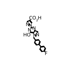 O=C(O)c1cnn(-c2nc(O)c3c(cnn3Cc3ccc(-c4ccc(F)cc4)cc3)n2)c1